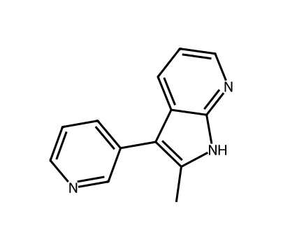 Cc1[nH]c2ncccc2c1-c1cccnc1